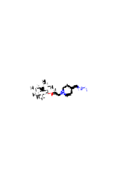 CC(C)(C)[Si](C)(C)OCCN1CCC(CN)CC1